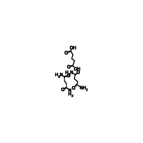 NC(=O)CCC(N)=O.NC(=O)CCC(N)=O.O=C(O)CCCC(=O)O